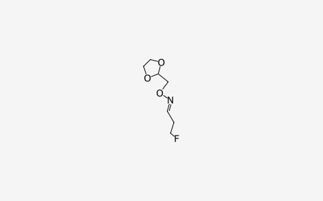 FCCC=NOCC1OCCO1